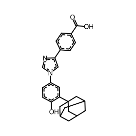 O=C(O)c1ccc(-c2cn(-c3ccc(O)c(C45CC6CC(CC(C6)C4)C5)c3)cn2)cc1